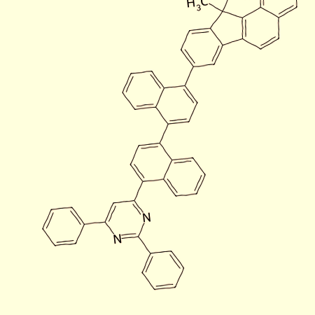 CC1(C)c2ccc(-c3ccc(-c4ccc(-c5cc(-c6ccccc6)nc(-c6ccccc6)n5)c5ccccc45)c4ccccc34)cc2-c2ccc3ccccc3c21